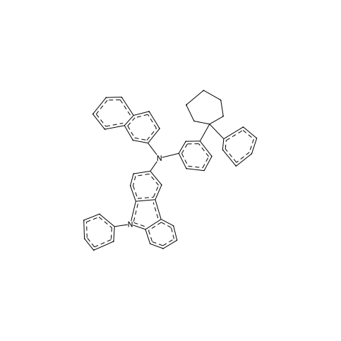 c1ccc(-n2c3ccccc3c3cc(N(c4cccc(C5(c6ccccc6)CCCCC5)c4)c4ccc5ccccc5c4)ccc32)cc1